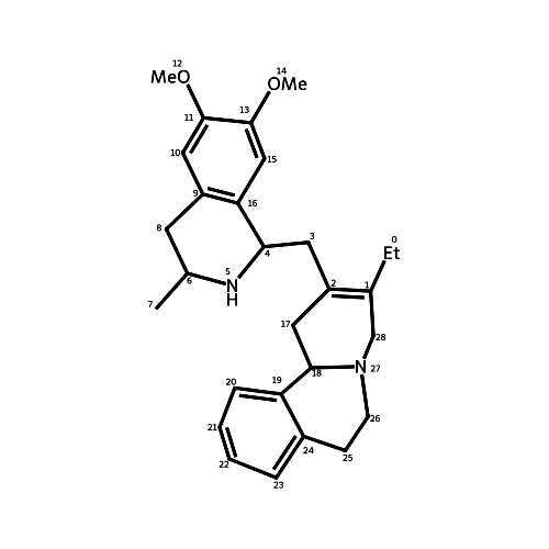 CCC1=C(CC2NC(C)Cc3cc(OC)c(OC)cc32)CC2c3ccccc3CCN2C1